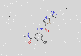 CC(N)c1ncc(C(=O)Nc2cc(C(=O)N(C)C)cc(C(F)(F)F)c2)s1